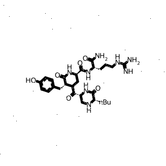 CCCC[C@@H]1NC[C@H](C(=O)C2C[C@H](C(=O)N[C@@H](CCCNC(=N)N)C(N)=O)NC(=O)[C@H]2Cc2ccc(O)cc2)NC1=O